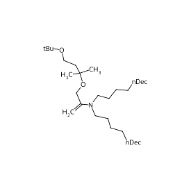 C=C(COC(C)(C)CCOC(C)(C)C)N(CCCCCCCCCCCCCC)CCCCCCCCCCCCCC